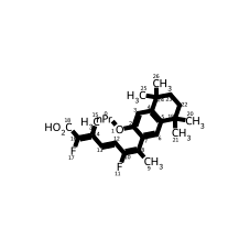 CCCOc1cc2c(cc1\C(C)=C(F)/C=C/C(C)=C(\F)C(=O)O)C(C)(C)CCC2(C)C